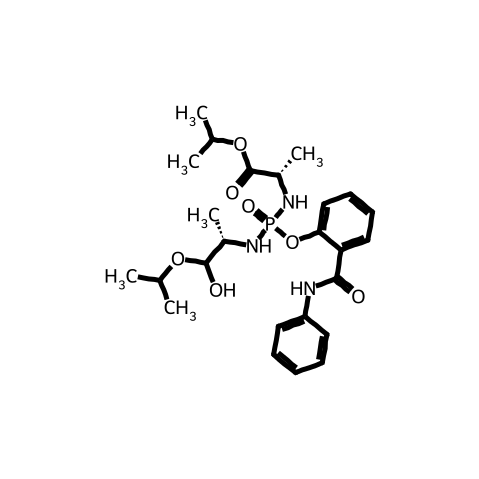 CC(C)OC(=O)[C@H](C)NP(=O)(N[C@@H](C)C(O)OC(C)C)Oc1ccccc1C(=O)Nc1ccccc1